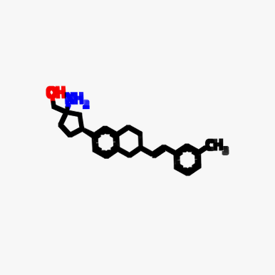 Cc1cccc(/C=C/C2CCc3cc([C@H]4CC[C@](N)(CO)C4)ccc3C2)c1